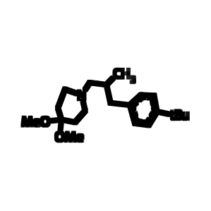 COC1(OC)CCN(CC(C)Cc2ccc(C(C)(C)C)cc2)CC1